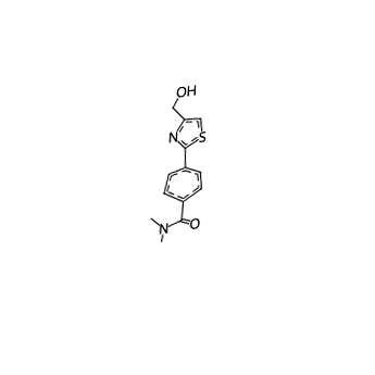 CN(C)C(=O)c1ccc(-c2nc(CO)cs2)cc1